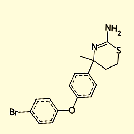 CC1(c2ccc(Oc3ccc(Br)cc3)cc2)CCSC(N)=N1